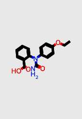 CCOc1ccc(N(C(N)=O)c2ccccc2C(=O)O)cc1